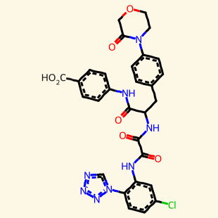 O=C(Nc1cc(Cl)ccc1-n1cnnn1)C(=O)NC(Cc1ccc(N2CCOCC2=O)cc1)C(=O)Nc1ccc(C(=O)O)cc1